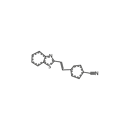 N#Cc1ccc(C=Cc2nc3ccccc3s2)cc1